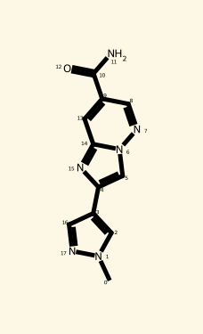 Cn1cc(-c2cn3ncc(C(N)=O)cc3n2)cn1